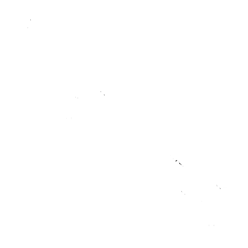 Nc1ccc(C(=O)N2CCc3c2ccc(S(=O)(=O)[C@H]2CNC(=O)N2)c3-c2ccccc2)cc1